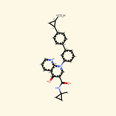 CC1(NC(=O)c2cn(-c3cccc(-c4ccc(C5CC5C(=O)O)cc4)c3)c3ncccc3c2=O)CC1